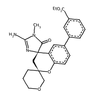 CCOC(=O)c1cccc(-c2ccc3c(c2)[C@]2(C[C@@]4(CCCOC4)O3)N=C(N)N(C)C2=O)c1